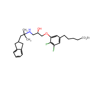 CCOC(=O)CCCCc1cc(F)c(F)c(OC[C@H](O)CNC(C)(C)CC2Cc3ccccc3C2)c1